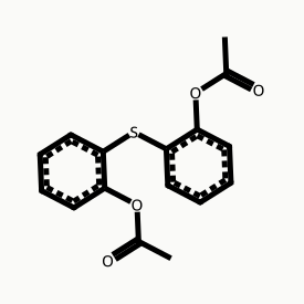 CC(=O)Oc1ccccc1Sc1ccccc1OC(C)=O